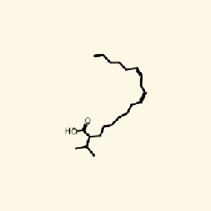 CCCCC/C=C\C/C=C\CCCCCCC(C(=O)O)C(C)C